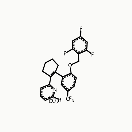 O=C(O)c1cccc(C2=C(c3cc(C(F)(F)F)ccc3OCc3c(F)cc(F)cc3F)CCCC2)n1